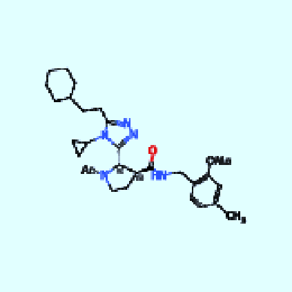 COc1cc(C)ccc1CNC(=O)[C@H]1CCN(C(C)=O)[C@@H]1c1nnc(CCC2CCCCC2)n1C1CC1